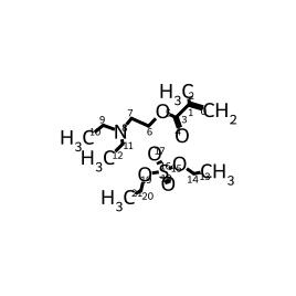 C=C(C)C(=O)OCCN(CC)CC.CCOS(=O)(=O)OCC